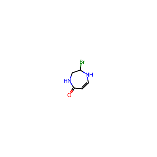 O=C1C=CNC(Br)CN1